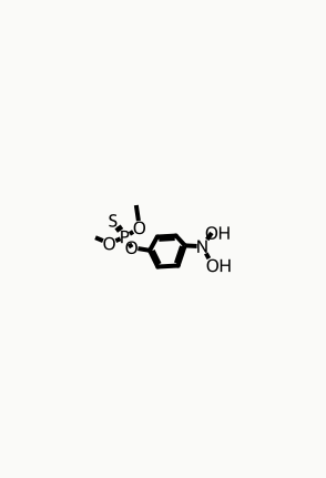 COP(=S)(OC)Oc1ccc(N(O)O)cc1